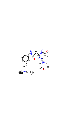 CC(C)(C)N(CCc1cccc(NC(=O)Cc2nc(N3CCOCC3)cc(=O)[nH]2)c1)C(=O)O